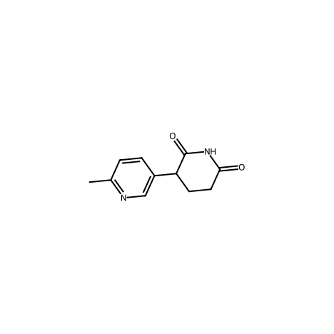 Cc1ccc(C2CCC(=O)NC2=O)cn1